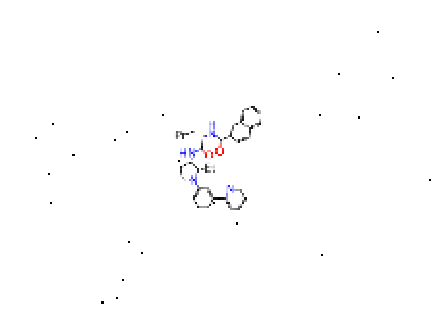 CCC1[C@H](NC(=O)[C@H](CC(C)C)NC(=O)c2ccc3ccccc3c2)CCN1c1cccc(-c2ccccn2)c1